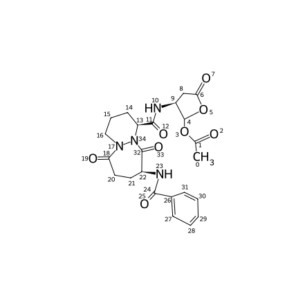 CC(=O)OC1OC(=O)C[C@@H]1NC(=O)[C@@H]1CCCN2C(=O)CC[C@H](NC(=O)c3ccccc3)C(=O)N12